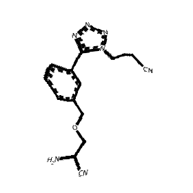 N#CCCn1nnnc1-c1cccc(COCC(N)C#N)c1